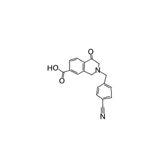 N#Cc1ccc(CN2CC(=O)c3ccc(C(=O)O)cc3C2)cc1